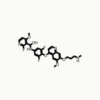 CNCCCOc1cc2nccc(Oc3c(F)cc(NC(O)c4c(OC)ccnc4F)cc3F)c2cc1OC